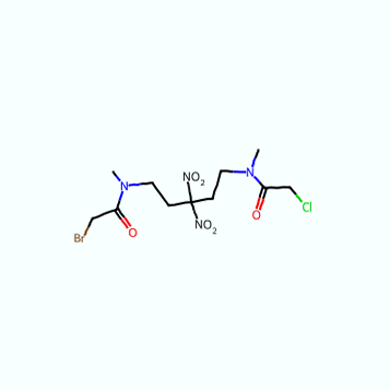 CN(CCC(CCN(C)C(=O)CBr)([N+](=O)[O-])[N+](=O)[O-])C(=O)CCl